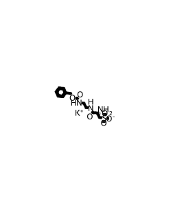 N[C@@H](CS(=O)(=O)[O-])C(=O)NCCNC(=O)OCc1ccccc1.[K+]